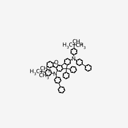 CC(C)(C)c1ccc(N(c2ccc(-c3ccccc3)cc2)c2ccc3c(c2)C(c2ccccc2)(c2ccccc2)c2cc(N(c4ccc(-c5ccccc5)cc4)c4ccc(C(C)(C)C)cc4)c4c(oc5ccccc54)c2-3)cc1